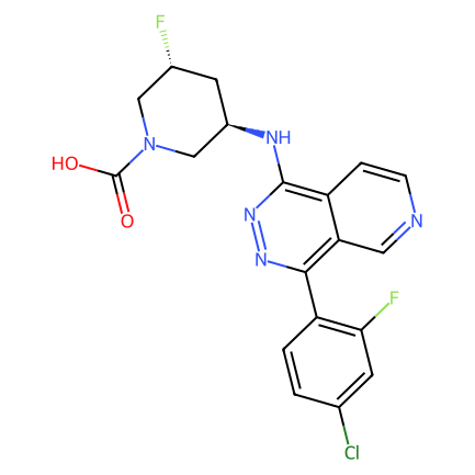 O=C(O)N1C[C@H](F)C[C@@H](Nc2nnc(-c3ccc(Cl)cc3F)c3cnccc23)C1